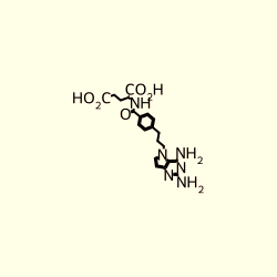 Nc1nc(N)c2c(ccn2CCCc2ccc(C(=O)N[C@H](CCC(=O)O)C(=O)O)cc2)n1